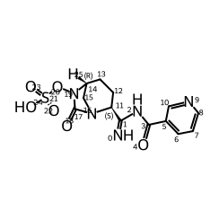 N=C(NC(=O)c1cccnc1)[C@@H]1CC[C@@H]2CN1C(=O)N2OS(=O)(=O)O